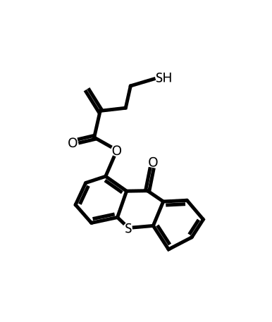 C=C(CCS)C(=O)Oc1cccc2sc3ccccc3c(=O)c12